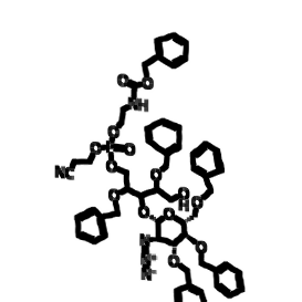 N#CCCOP(=O)(OCCNC(=O)OCc1ccccc1)OCC(OCc1ccccc1)C(O[C@@H]1O[C@H](COCc2ccccc2)[C@@H](OCc2ccccc2)[C@H](OCc2ccccc2)[C@H]1N=[N+]=[N-])C(CO)OCc1ccccc1